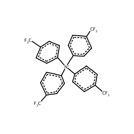 FC(F)(F)c1ccc([N+](c2ccc(C(F)(F)F)cc2)(c2ccc(C(F)(F)F)cc2)c2ccc(C(F)(F)F)cc2)cc1